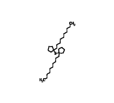 CCCCCCCCCCC1(SC2(CCCCCCCCCC)CCCC2)CCCC1